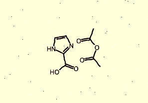 CC(=O)OC(C)=O.O=C(O)c1ncc[nH]1